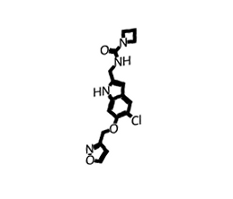 O=C(NCc1cc2cc(Cl)c(OCc3ccon3)cc2[nH]1)N1CCC1